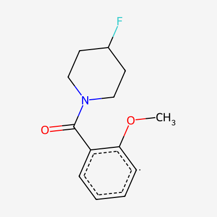 COc1[c]cccc1C(=O)N1CCC(F)CC1